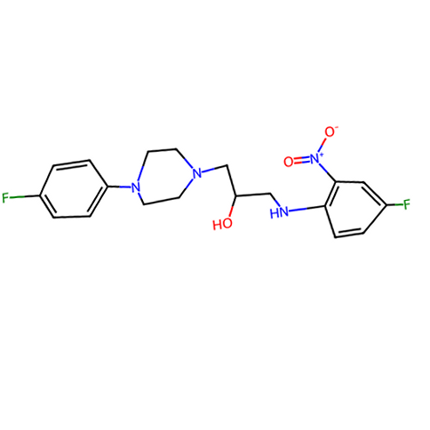 O=[N+]([O-])c1cc(F)ccc1NCC(O)CN1CCN(c2ccc(F)cc2)CC1